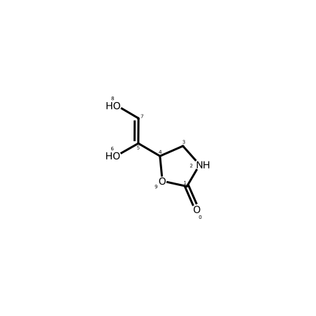 O=C1NCC(C(O)=CO)O1